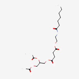 CCCCCCCCCCCCCCCC(=O)NCCOC(=O)CCC(=O)OCC(COC(=O)CCCCCCC)OC(=O)CCCCCCC